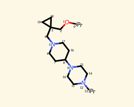 CC(C)OCC1(CN2CCC(N3CCN(C(C)C)CC3)CC2)CC1